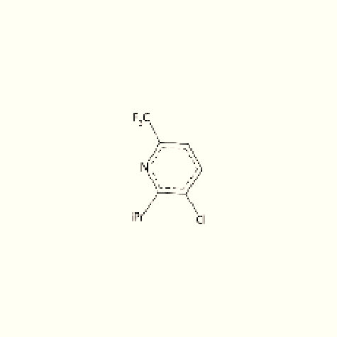 CC(C)c1nc(C(F)(F)F)ccc1Cl